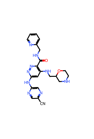 N#Cc1cnc(Nc2cc(NCC3CNCCO3)c(C(=O)NCc3ccccn3)nn2)cn1